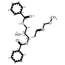 COC/N=C/C[C@H](OC(=O)c1ccccc1)[C@H](O)COC(=O)c1ccccc1